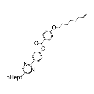 C=CCCCCCCOc1ccc(C(=O)Oc2ccc(-c3ncc(CCCCCCC)cn3)cc2)cc1